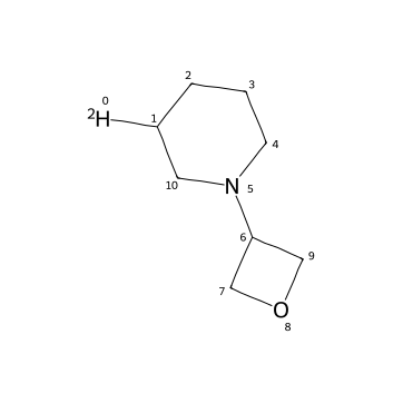 [2H]C1CCCN(C2COC2)C1